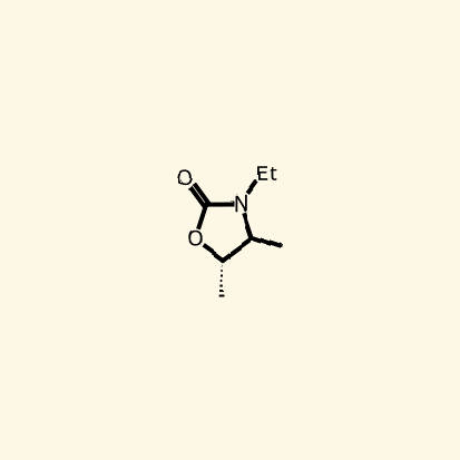 CCN1C(=O)O[C@@H](C)C1C